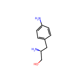 Nc1ccc(C[C@H](N)CO)cc1